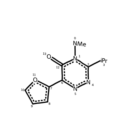 CNn1c(C(C)C)nnc(-c2ccco2)c1=O